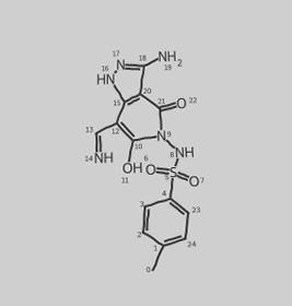 Cc1ccc(S(=O)(=O)Nn2c(O)c(C=N)c3[nH]nc(N)c3c2=O)cc1